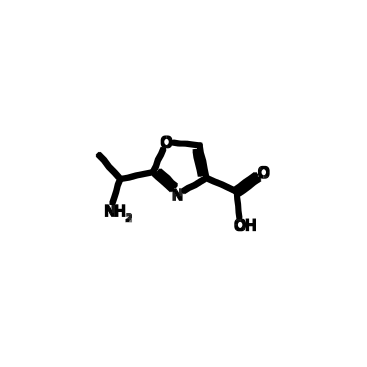 CC(N)c1nc(C(=O)O)co1